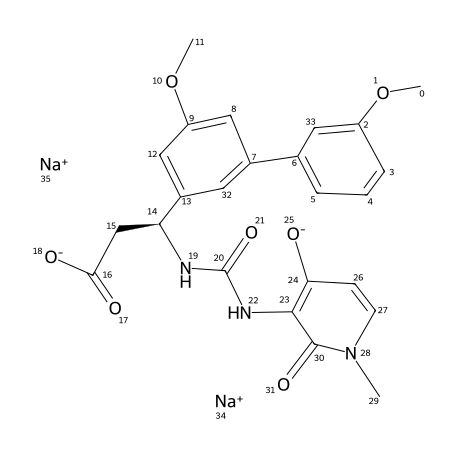 COc1cccc(-c2cc(OC)cc([C@H](CC(=O)[O-])NC(=O)Nc3c([O-])ccn(C)c3=O)c2)c1.[Na+].[Na+]